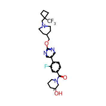 O=C(c1ccc(-c2cnc(OCC3CCN(CC4(C(F)(F)F)CCC4)CC3)nc2)c(F)c1)N1CCC[C@@H](O)C1